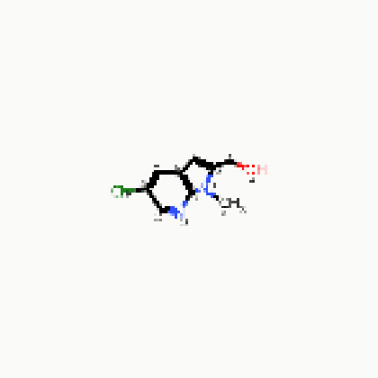 Cn1c(CO)cc2cc(Cl)cnc21